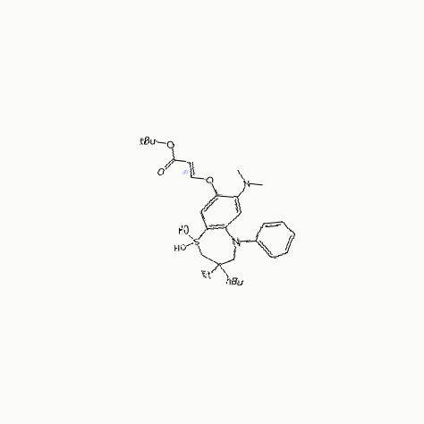 CCCCC1(CC)CN(c2ccccc2)c2cc(N(C)C)c(O/C=C/C(=O)OC(C)(C)C)cc2S(O)(O)C1